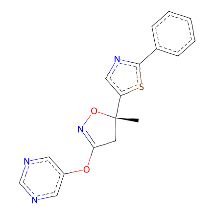 C[C@@]1(c2cnc(-c3ccccc3)s2)CC(Oc2cncnc2)=NO1